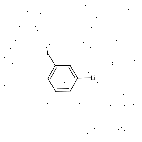 [Li][c]1cccc(I)c1